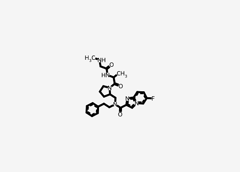 CNCC(=O)NC(C)C(=O)N1CCCC1CN(CCc1ccccc1)C(=O)c1cn2cc(F)ccc2n1